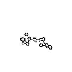 SC(/C=C\C=C1/Cc2cccc(-n3c4ccccc4c4cc5ccccc5cc43)c2O1)c1nc(-c2ccccc2)nc(-c2cccc3oc4ccccc4c23)n1